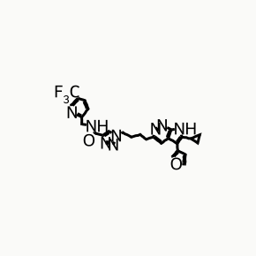 O=C(NCc1ccc(C(F)(F)F)cn1)c1cn(CCCCc2cc3c(-c4ccoc4)c(C4CC4)[nH]c3nn2)nn1